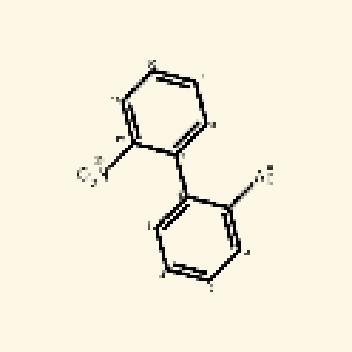 CC(=O)c1ccccc1-c1ccccc1[N+](=O)[O-]